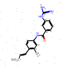 CCOC(=O)/C=C/c1ccc(NC(=O)c2cccc(NC(=N)N)c2)cc1C(F)(F)F